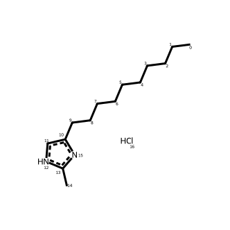 CCCCCCCCCCc1c[nH]c(C)n1.Cl